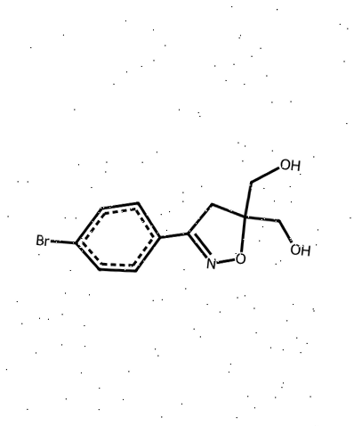 OCC1(CO)CC(c2ccc(Br)cc2)=NO1